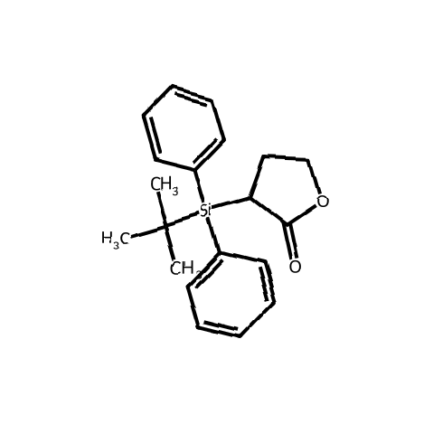 CC(C)(C)[Si](c1ccccc1)(c1ccccc1)C1CCOC1=O